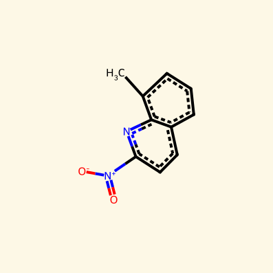 Cc1cccc2ccc([N+](=O)[O-])nc12